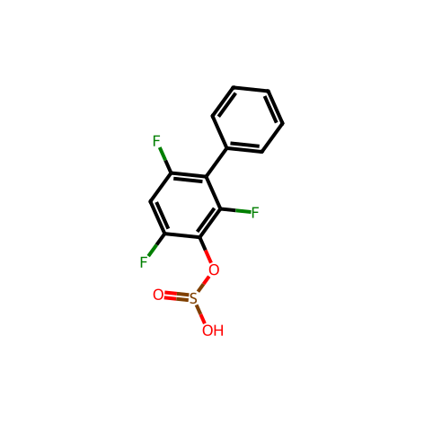 O=S(O)Oc1c(F)cc(F)c(-c2ccccc2)c1F